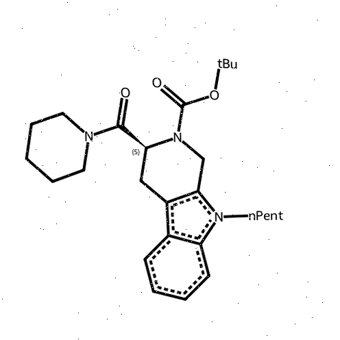 CCCCCn1c2c(c3ccccc31)C[C@@H](C(=O)N1CCCCC1)N(C(=O)OC(C)(C)C)C2